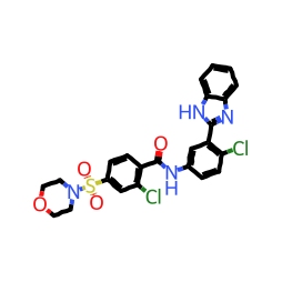 O=C(Nc1ccc(Cl)c(-c2nc3ccccc3[nH]2)c1)c1ccc(S(=O)(=O)N2CCOCC2)cc1Cl